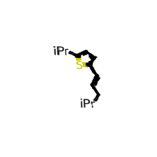 CC(C)C/C=C/c1ccc(C(C)C)s1